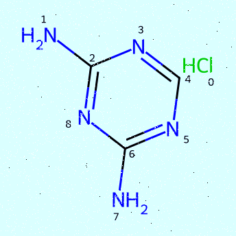 Cl.Nc1ncnc(N)n1